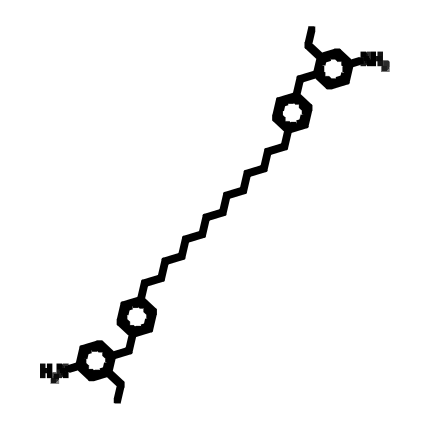 CCc1cc(N)ccc1Cc1ccc(CCCCCCCCCCCCCCc2ccc(Cc3ccc(N)cc3CC)cc2)cc1